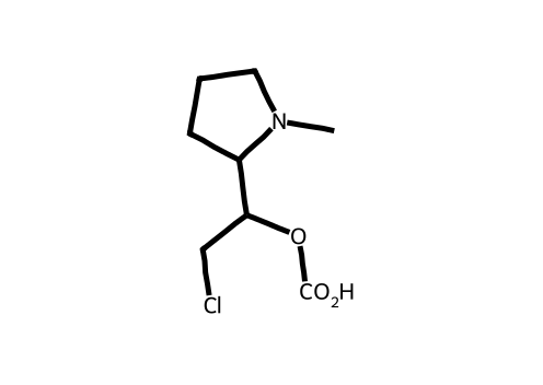 CN1CCCC1C(CCl)OC(=O)O